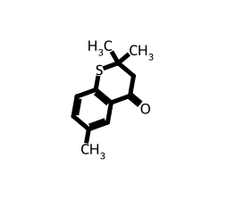 Cc1ccc2c(c1)C(=O)CC(C)(C)S2